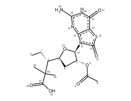 CC[C@H]([C@@H]1C[C@@H](OC(C)=O)[C@H](n2c(=O)sc3c(=O)[nH]c(N)nc32)O1)C(C)(C)C(=O)O